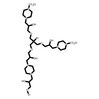 CCOCC(O)CN1CCN(CC(O)COCC(CC)(COCC(O)CN2CCN(C(=O)OCC)CC2)COCC(O)CN2CCN(C(=O)OCC)CC2)CC1